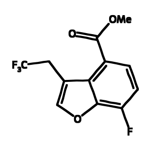 COC(=O)c1ccc(F)c2occ(CC(F)(F)F)c12